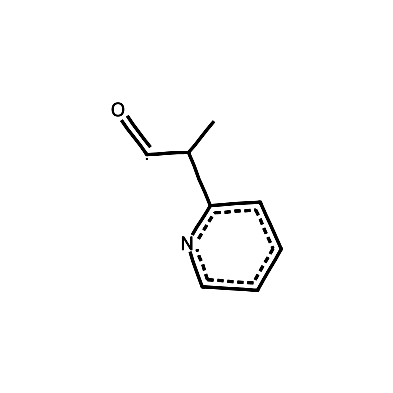 CC([C]=O)c1ccccn1